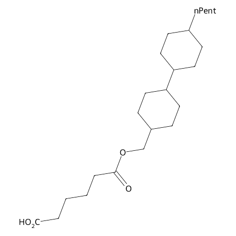 CCCCCC1CCC(C2CCC(COC(=O)CCCCC(=O)O)CC2)CC1